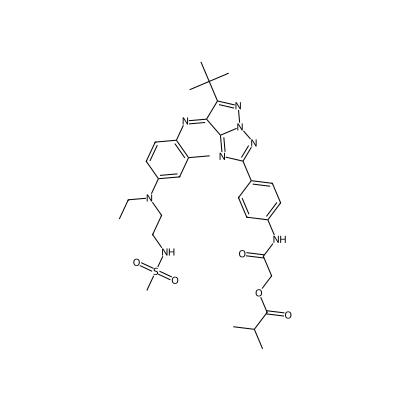 CCN(CCNS(C)(=O)=O)c1ccc(/N=C2/C(C(C)(C)C)=Nn3nc(-c4ccc(NC(=O)COC(=O)C(C)C)cc4)nc32)c(C)c1